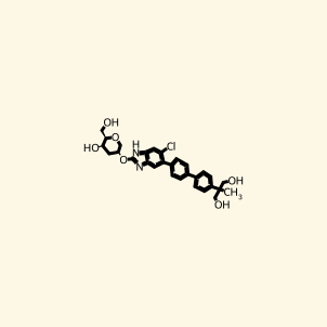 CC(CO)(CO)c1ccc(-c2ccc(-c3cc4nc(O[C@H]5CO[C@H](CO)[C@@H](O)C5)[nH]c4cc3Cl)cc2)cc1